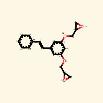 C(=C\c1cc(OCC2CO2)cc(OCC2CO2)c1)/c1ccccc1